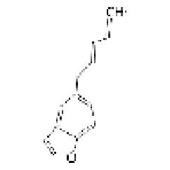 [CH]=CC=CCc1ccc2occc2c1